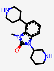 Cn1c(=O)n(C2CCCNC2)c2cccc(C3CCNCC3)c21